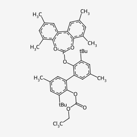 Cc1cc(-c2cc(C)cc(C(C)(C)C)c2Op2oc3c(C)cc(C)cc3c3cc(C)cc(C)c3o2)c(OC(=O)OCC(Cl)(Cl)Cl)c(C(C)(C)C)c1